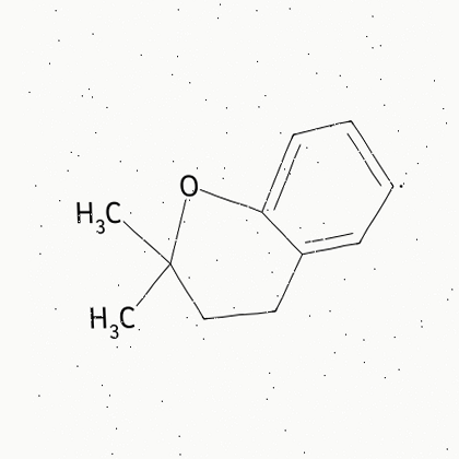 CC1(C)CCc2c[c]ccc2O1